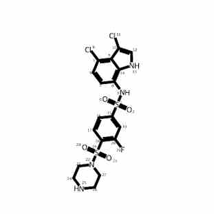 O=S(=O)(Nc1ccc(Cl)c2c(Cl)c[nH]c12)c1ccc(S(=O)(=O)N2CCNCC2)c(F)c1